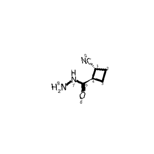 N#C[C@@H]1CC[C@H]1C(=O)NN